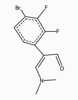 CN(C)/C=C(\C=O)c1ccc(Br)c(F)c1F